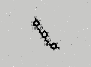 Cc1ccc(NC(=O)CC2CCCC(CC(=O)Nc3ccc(C)cc3)C2)cc1